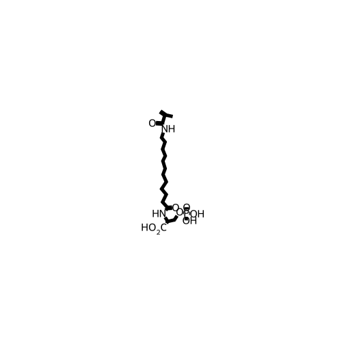 C=C(C)C(=O)NCCCCCCCCCCCC(=O)NC(COP(=O)(O)O)C(=O)O